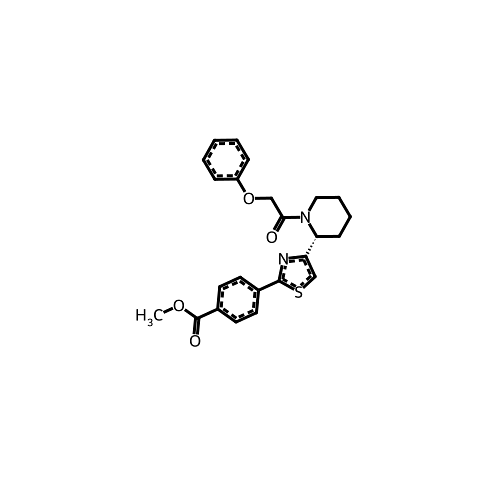 COC(=O)c1ccc(-c2nc([C@H]3CCCCN3C(=O)COc3ccccc3)cs2)cc1